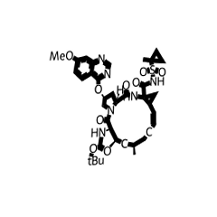 COc1ccc2c(O[C@@H]3C[C@H]4C(=O)NC5(C(=O)NS(=O)(=O)C6(C)CC6)CC5/C=C\CC[C@@H](C)C[C@@H](C)[C@H](NC(=O)OC(C)(C)C)C(=O)N4C3)ncnc2c1